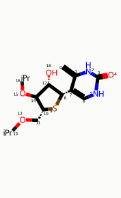 C=C1NC(=O)NC=C1[C@@H]1S[C@H](COC(C)C)C(OC(C)C)[C@@H]1O